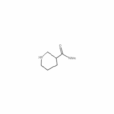 CNC(=O)C1CCCNC1